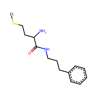 CCSCCC(N)C(=O)NCCCc1ccccc1